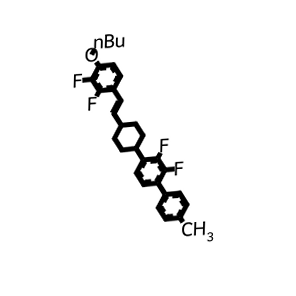 CCCCOc1ccc(/C=C/C2CCC(c3ccc(-c4ccc(C)cc4)c(F)c3F)CC2)c(F)c1F